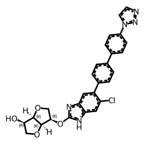 O[C@@H]1CO[C@H]2[C@@H]1OC[C@H]2Oc1nc2cc(-c3ccc(-c4ccc(-n5ccnn5)cc4)cc3)c(Cl)cc2[nH]1